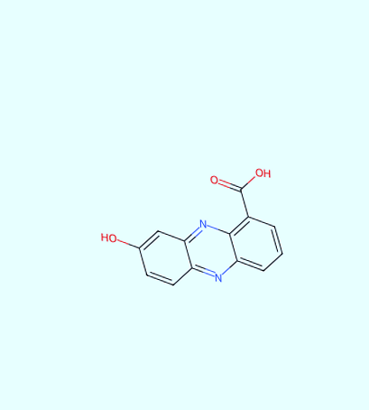 O=C(O)c1cccc2nc3ccc(O)cc3nc12